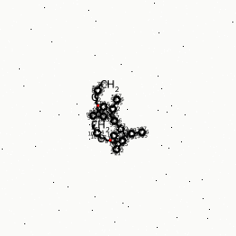 C=Cc1ccc(OCCCCC2(c3ccccc3)c3ccccc3-c3ccc(N(c4ccc(-c5ccccc5)cc4)c4ccc(-c5ccc(N(c6ccc(-c7ccccc7)cc6)c6ccc7c(c6)C(CCCCOc6ccc(C=C)cc6)(c6ccccc6)c6ccccc6-7)cc5)cc4)cc32)cc1